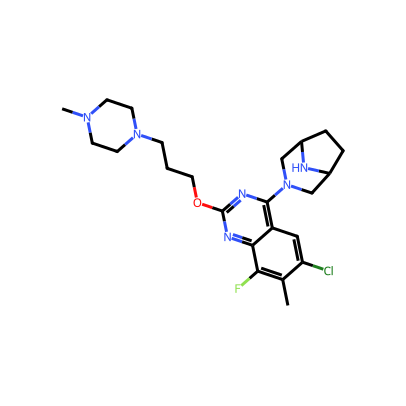 Cc1c(Cl)cc2c(N3CC4CCC(C3)N4)nc(OCCCN3CCN(C)CC3)nc2c1F